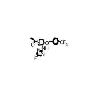 C=CC(=O)N1CC[C@@H](OCc2ccc(C(F)(F)F)cc2)[C@H](Nc2ncc(F)cn2)C1